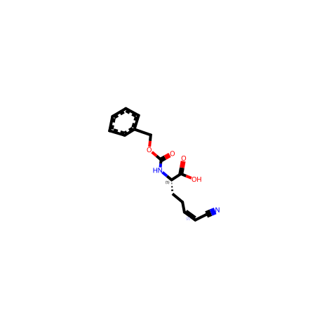 N#C/C=C\CC[C@H](NC(=O)OCc1ccccc1)C(=O)O